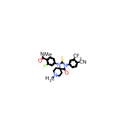 CNC(=O)c1ccc(N2C(=S)N(c3ccc(C#N)c(C(F)(F)F)c3)C(=O)C23CCN(C)CC3)cc1F